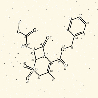 COC(=O)N[C@@H]1C(=O)N2C(C(=O)OCc3ccccc3)=C(C)CS(=O)(=O)C12